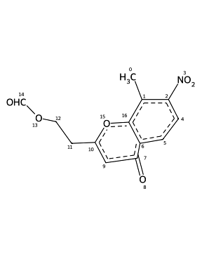 Cc1c([N+](=O)[O-])ccc2c(=O)cc(CCOC=O)oc12